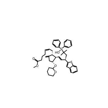 C=C1C[C@@H](OC2CCCCO2)[C@H](/C=C/[C@@H](CC(C)(C)[Si](O)(c2ccccc2)c2ccccc2)c2cc3ccccc3s2)[C@H]1C/C=C\CCCC(=O)OC